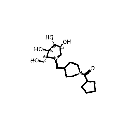 O=C(C1CCCC1)N1CCC(CN2C[C@H](O)[C@@H](O)[C@H](O)[C@H]2CO)CC1